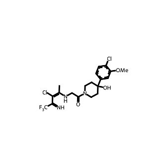 COc1cc(C2(O)CCN(C(=O)CN/C(C)=C(/Cl)C(=N)C(F)(F)F)CC2)ccc1Cl